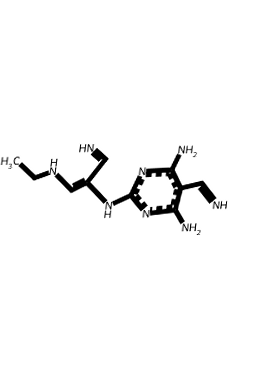 CCN/C=C(\C=N)Nc1nc(N)c(C=N)c(N)n1